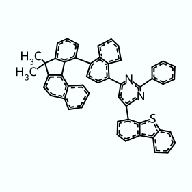 CC1(C)c2cccc(-c3ccc(-c4cc(-c5cccc6c5sc5ccccc56)nc(-c5ccccc5)n4)c4ccccc34)c2-c2c1ccc1ccccc21